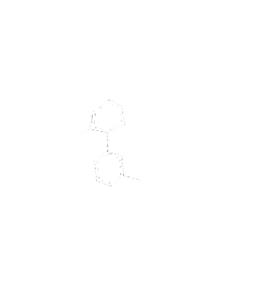 CCc1cccc(-c2ccccc2Cl)c1F